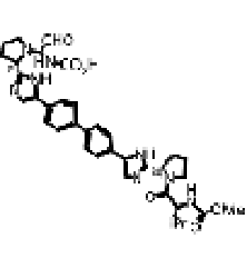 COC(=O)N[C@H](C(=O)N1CCC[C@H]1c1ncc(-c2ccc(-c3ccc(-c4cnc([C@@H]5CCCN5C(C=O)NC(=O)O)[nH]4)cc3)cc2)[nH]1)C(C)C